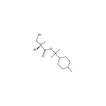 CC(C)C[C@](C)(C(=O)OC(C)(C)C1CCC(C)CC1)C(C)C